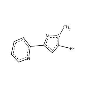 Cn1nc(-c2ccccn2)cc1Br